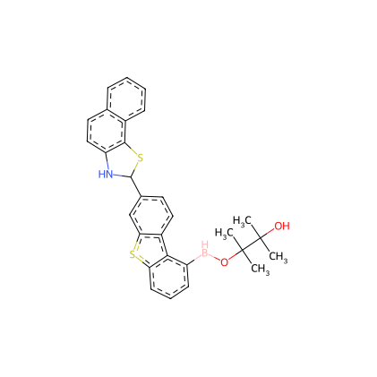 CC(C)(O)C(C)(C)OBc1cccc2sc3cc(C4Nc5ccc6ccccc6c5S4)ccc3c12